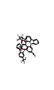 N#Cc1cc(-n2c3ccccc3c3ccc(C(F)(F)F)cc32)c(-c2ccc(C(F)(F)F)cc2C(F)(F)F)c(-n2c3ccccc3c3ccc(C(F)(F)F)cc32)c1